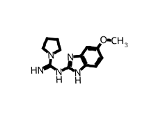 COc1ccc2[nH]c(NC(=N)N3CCCC3)nc2c1